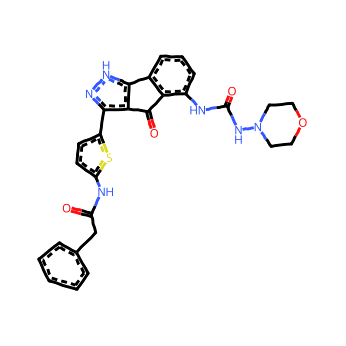 O=C(Cc1ccccc1)Nc1ccc(-c2n[nH]c3c2C(=O)c2c(NC(=O)NN4CCOCC4)cccc2-3)s1